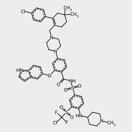 CN1CCC(Nc2ccc(S(=O)(=O)NC(=O)c3ccc(N4CCN(CC5=C(c6ccc(Cl)cc6)CC(C)(C)CC5)CC4)cc3Oc3ccc4[nH]ccc4c3)cc2S(=O)(=O)C(F)(F)Cl)CC1